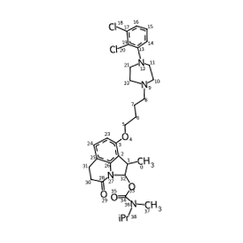 CC1c2c(OCCCCN3CCN(c4cccc(Cl)c4Cl)CC3)ccc3c2N(C(=O)CC3)C1OC(=O)N(C)C(C)C